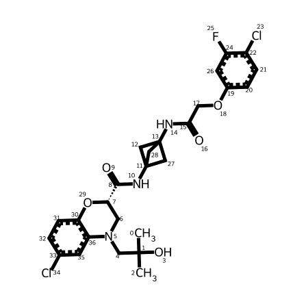 CC(C)(O)CN1C[C@@H](C(=O)NC23CC(NC(=O)COc4ccc(Cl)c(F)c4)(C2)C3)Oc2ccc(Cl)cc21